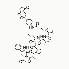 CC[C@H](C)[C@@H]([C@@H](CC(=O)N1CCC[C@H]1[C@H](OC)[C@@H](C)C(=O)N[C@@H](Cc1c[nH]c2ccccc12)C(C)=O)OC)N(C)C(=O)[C@@H](NC(=O)[C@H](C(C)C)N(C)CCCC(=O)NC1CCC(C(=O)CN2C(=O)CCC2=O)CC1)C(C)C